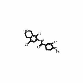 CCOc1ccc(C(=O)Nc2cc(Cl)c3c(c2Cl)CNCC3)cc1C(C)=O